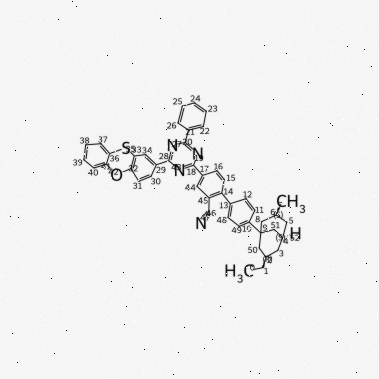 CC[C@@H]1C[C@@H]2C[C@H](C)CC(c3ccc(-c4ccc(-c5nc(-c6ccccc6)nc(-c6ccc7c(c6)Sc6ccccc6O7)n5)cc4C#N)cc3)(C1)C2